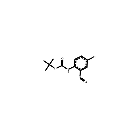 CC(C)(C)OC(=O)Nc1ccc(Cl)cc1N=O